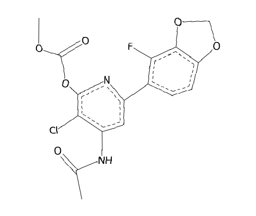 COC(=O)Oc1nc(-c2ccc3c(c2F)OCO3)cc(NC(C)=O)c1Cl